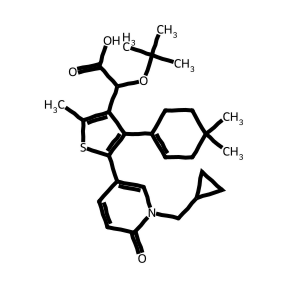 Cc1sc(-c2ccc(=O)n(CC3CC3)c2)c(C2=CCC(C)(C)CC2)c1C(OC(C)(C)C)C(=O)O